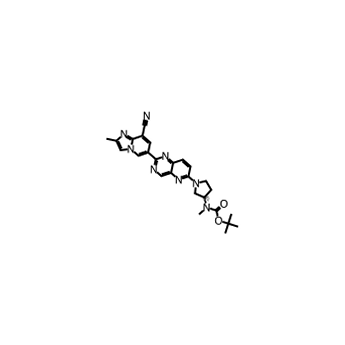 Cc1cn2cc(-c3ncc4nc(N5CC[C@@H](N(C)C(=O)OC(C)(C)C)C5)ccc4n3)cc(C#N)c2n1